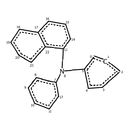 [c]1ccccc1N(c1ccccc1)c1cccc2ccccc12